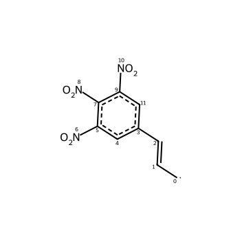 [CH2]C=Cc1cc([N+](=O)[O-])c([N+](=O)[O-])c([N+](=O)[O-])c1